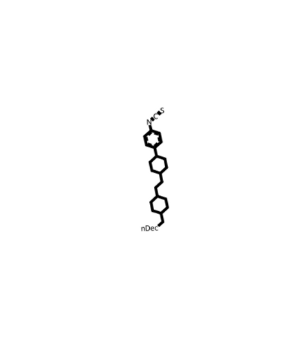 CCCCCCCCCCCC1CCC(CCC2CCC(c3ccc(N=C=S)cc3)CC2)CC1